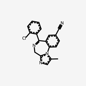 Cc1cnc2n1-c1ccc(C#N)cc1C(c1ccccc1Cl)=NC2